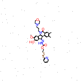 COc1cc2c(cc1O)/C(=N\NC(=O)OCCSSc1ccccn1)c1c-2n(CCCN2CCOCC2)c(=O)c2cc(C)c(C)cc12